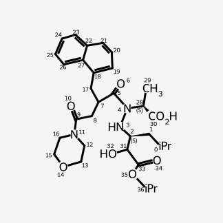 CC(C)C[C@H](NN(C(=O)C(CC(=O)N1CCOCC1)Cc1cccc2ccccc12)[C@@H](C)C(=O)O)C(O)C(=O)OC(C)C